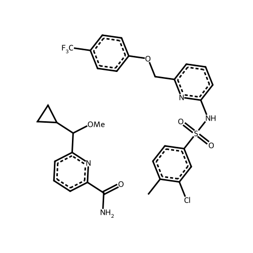 COC(c1cccc(C(N)=O)n1)C1CC1.Cc1ccc(S(=O)(=O)Nc2cccc(COc3ccc(C(F)(F)F)cc3)n2)cc1Cl